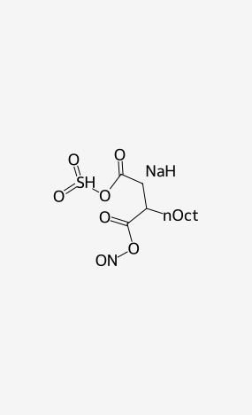 CCCCCCCCC(CC(=O)O[SH](=O)=O)C(=O)ON=O.[NaH]